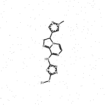 CCSc1nnc(NC2=NC=CN3C2=NCC3c2cnn(C)c2)s1